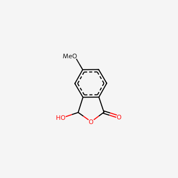 COc1ccc2c(c1)C(O)OC2=O